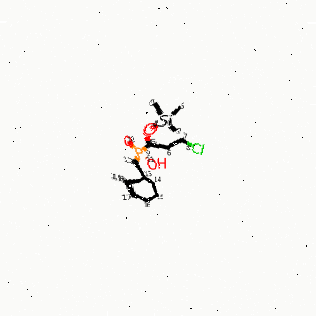 C[Si](C)(C)OC(CCCl)P(=O)(O)CC1CCCCC1